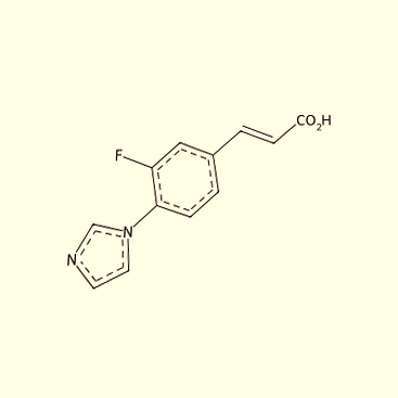 O=C(O)C=Cc1ccc(-n2ccnc2)c(F)c1